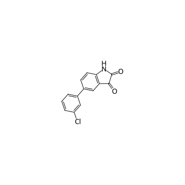 O=C1Nc2ccc(-c3cccc(Cl)c3)cc2C1=O